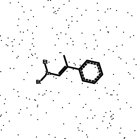 C[CH2][Zn]([CH]=C(C)c1ccccc1)[CH2]C